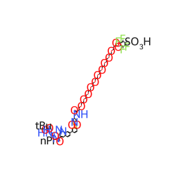 CCCN(OCCNC(=O)OC(C)(C)C)C(=O)C1=Cc2ccc(-c3cccc(S(=O)(=O)N4CC(CNC(=O)CCOCCOCCOCCOCCOCCOCCOCCOCCOCCOCCC(=O)Oc5c(F)c(F)c(S(=O)(=O)O)c(F)c5F)C4)c3)cc2N=C(N)C1